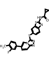 Cc1ccc(-c2ccc3nnc(Sc4ccc5nc(NC(=O)C6CC6)sc5c4)n3c2)cc1F